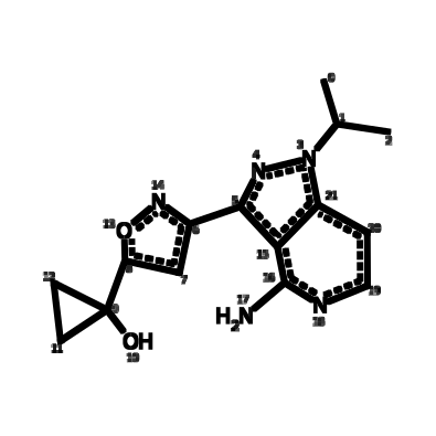 CC(C)n1nc(-c2cc(C3(O)CC3)on2)c2c(N)nccc21